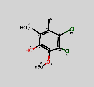 CCCCOc1c(O)c(C(=O)O)c(C)c(Cl)c1Cl